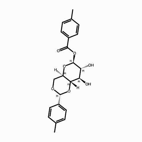 Cc1ccc(C(=O)O[C@@H]2O[C@@H]3CO[C@@H](c4ccc(C)cc4)O[C@H]3[C@H](O)[C@H]2O)cc1